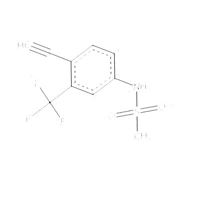 C#Cc1ccc(NS(C)(=O)=O)cc1C(F)(F)F